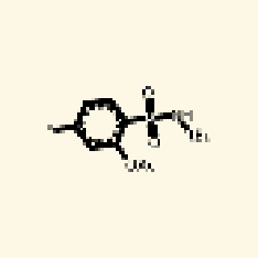 CC(=O)Oc1cc(F)ccc1S(=O)(=O)NC(C)(C)C